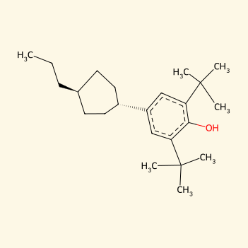 CCC[C@H]1CC[C@H](c2cc(C(C)(C)C)c(O)c(C(C)(C)C)c2)CC1